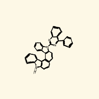 c1ccc(-c2nc(-n3c4ccccc4c4c5c(ccc6[nH]c7ccccc7c65)ccc43)nc3ccccc23)cc1